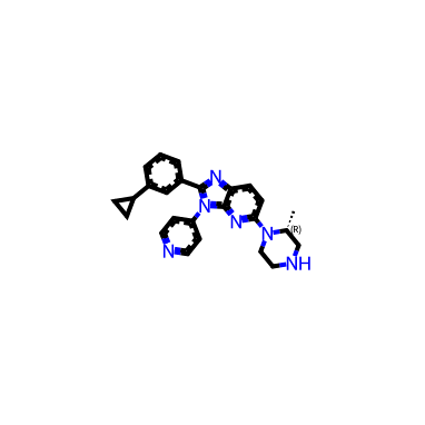 C[C@@H]1CNCCN1c1ccc2nc(-c3cccc(C4CC4)c3)n(-c3ccncc3)c2n1